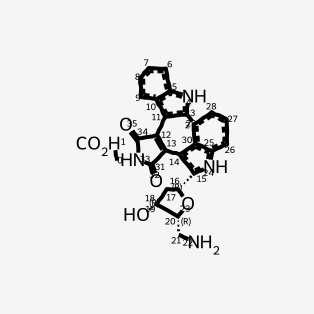 CC(=O)O.Cc1[nH]c2ccccc2c1C1=C(c2c([C@H]3C[C@@H](O)[C@@H](CN)O3)[nH]c3ccccc23)C(=O)NC1=O